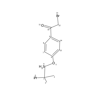 CC(C)C(C)(C)[SiH2]Oc1ccc(C(=O)CBr)cc1